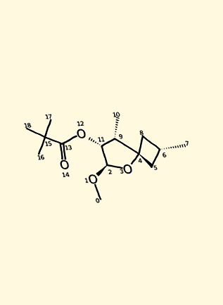 CO[C@@H]1O[C@]2(C[C@@H](C)C2)[C@@H](C)[C@H]1OC(=O)C(C)(C)C